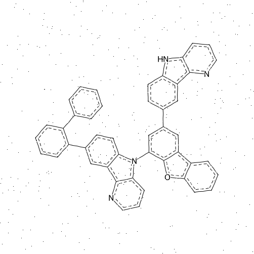 c1ccc(-c2ccccc2-c2ccc3c(c2)c2ncccc2n3-c2cc(-c3ccc4[nH]c5cccnc5c4c3)cc3c2oc2ccccc23)cc1